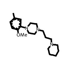 COc1ccc(C)cc1N1CCN(CCCN2CCCCC2)CC1